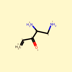 C=CC(=O)C(N)CN